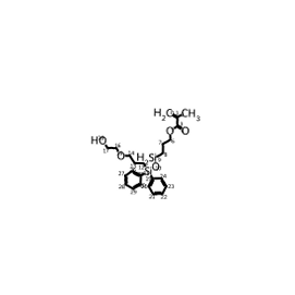 C=C(C)C(=O)OCCC[SiH2]O[Si](CCCOCCO)(c1ccccc1)c1ccccc1